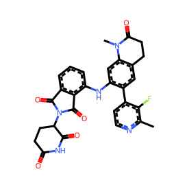 Cc1nccc(-c2cc3c(cc2Nc2cccc4c2C(=O)N(C2CCC(=O)NC2=O)C4=O)N(C)C(=O)CC3)c1F